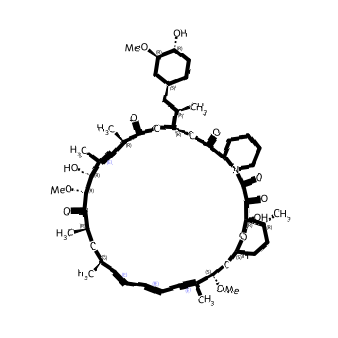 CO[C@H]1C[C@@H]2CC[C@@H](C)[C@@](O)(O2)C(=O)C(=O)N2CCCCC2C(=O)C[C@H]([C@H](C)C[C@@H]2CC[C@@H](O)[C@H](OC)C2)CC(=O)[C@H](C)/C=C(\C)[C@@H](O)[C@@H](OC)C(=O)[C@H](C)C[C@H](C)/C=C/C=C/C=C/1C